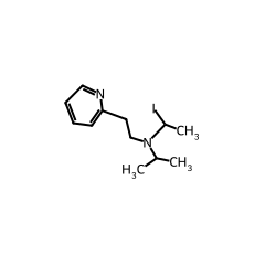 CC(C)N(CCc1ccccn1)C(C)I